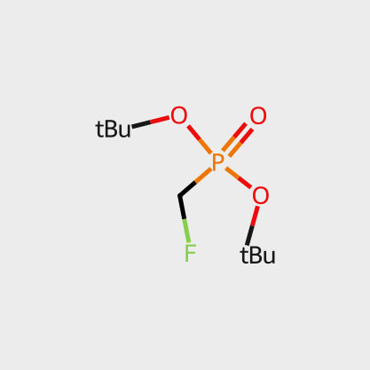 CC(C)(C)OP(=O)(CF)OC(C)(C)C